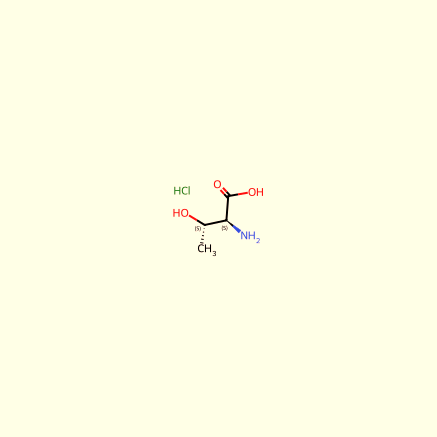 C[C@H](O)[C@H](N)C(=O)O.Cl